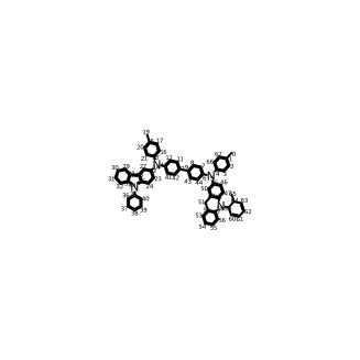 Cc1ccc(N(c2ccc(-c3ccc(N(c4ccc(C)cc4)c4ccc5c(c4)c4ccccc4n5-c4ccccc4)cc3)cc2)c2ccc3c(c2)Cc2ccccc2N3C2C=CC=CC2C)cc1